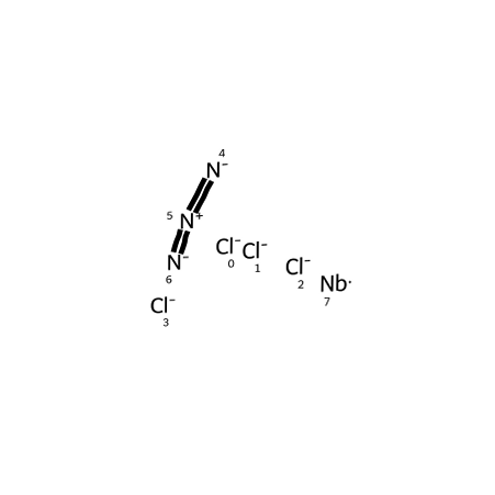 [Cl-].[Cl-].[Cl-].[Cl-].[N-]=[N+]=[N-].[Nb]